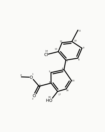 COC(=O)c1cc(-c2ccc(C)cc2Cl)ccc1O